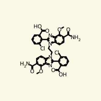 COc1c(C(N)=O)ccc2c1nc(-c1c(Cl)cccc1C(=O)O)n2CCn1c(-c2c(Cl)cccc2C(=O)O)nc2c(OC)c(C(N)=O)ccc21